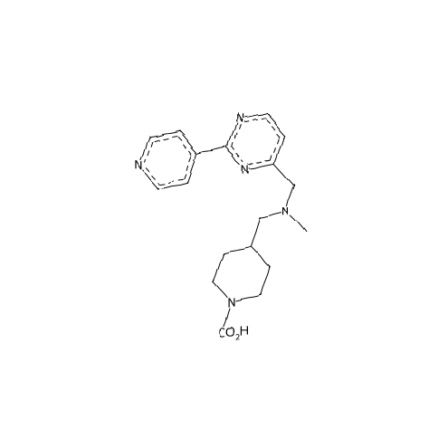 CN(Cc1ccnc(-c2ccncc2)n1)CC1CCN(C(=O)O)CC1